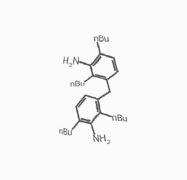 CCCCc1ccc(Cc2ccc(CCCC)c(N)c2CCCC)c(CCCC)c1N